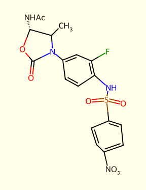 CC(=O)N[C@H]1OC(=O)N(c2ccc(NS(=O)(=O)c3ccc([N+](=O)[O-])cc3)c(F)c2)C1C